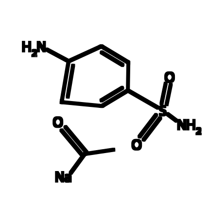 C[C](=O)[Na].Nc1ccc(S(N)(=O)=O)cc1